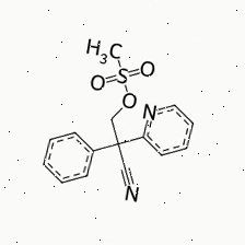 CS(=O)(=O)OCC(C#N)(c1ccccc1)c1ccccn1